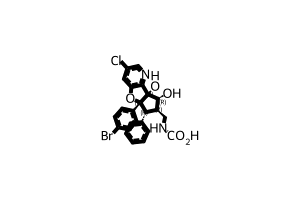 O=C(O)NC[C@@H]1[C@@H](O)[C@]2(O)c3ncc(Cl)cc3O[C@@]2(c2ccc(Br)cc2)[C@H]1c1ccccc1